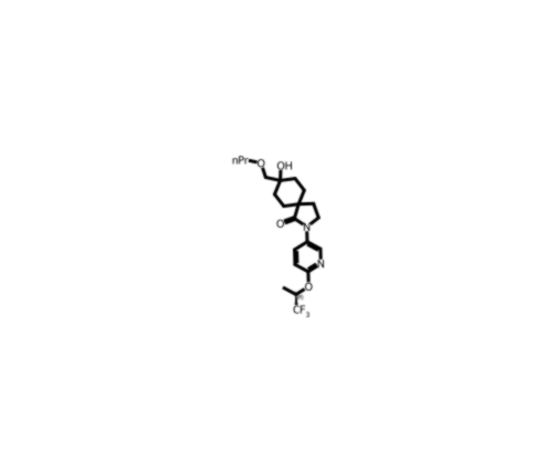 CCCOCC1(O)CCC2(CCN(c3ccc(O[C@H](C)C(F)(F)F)nc3)C2=O)CC1